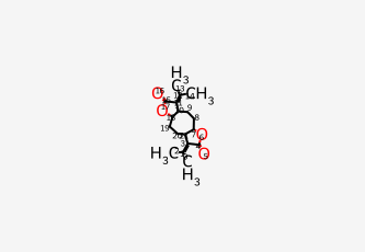 CC(C)=C1C(=O)OC2CCC3C(=C(C)C)C(=O)OC3CCC12